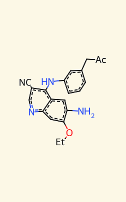 CCOc1cc2ncc(C#N)c(Nc3cccc(CC(C)=O)c3)c2cc1N